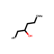 CCCCC(O)CCOC